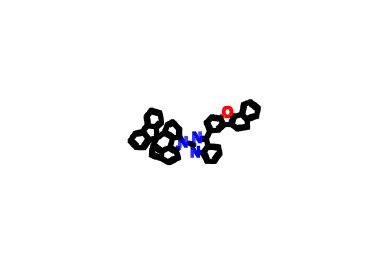 c1ccc2c(c1)-c1ccccc1C21c2cccc3ccc4c(c23)c2c1cccc2n4-c1nc(-c2ccc3oc4c5ccccc5ccc4c3c2)c2ccccc2n1